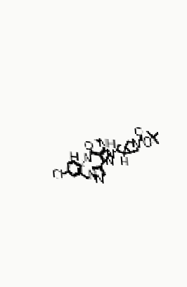 CNc1c(C(N)=O)c(-c2cnn(Cc3cccc(Cl)c3)c2)nn1[C@@H]1C[C@]23CN(C(=O)OC(C)(C)C)CC2[C@H]13